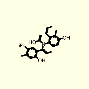 C=C(O)N(/C(=C\C)c1cc(C(C)C)c(C)cc1O)c1ccc(O)c(C)c1/C=C\C